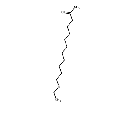 CCSCCCCCCCCCCC(N)=O